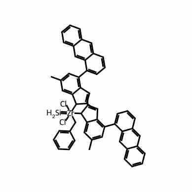 CC1=Cc2c(-c3cccc4cc5ccccc5cc34)cc(C)cc2[CH]1[Zr](=[SiH2])([Cl])([Cl])([CH2]c1ccccc1)[CH]1C(C)=Cc2c(-c3cccc4cc5ccccc5cc34)cc(C)cc21